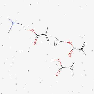 C=C(C)C(=O)OC.C=C(C)C(=O)OC1CC1.C=C(C)C(=O)OCCN(C)C